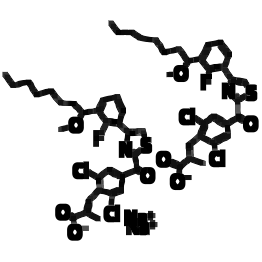 CCCCCCCC(OC)c1cccc(-c2csc(C(=O)c3cc(Cl)c(C=C(C)C(=O)[O-])c(Cl)c3)n2)c1F.CCCCCCCC(OC)c1cccc(-c2csc(C(=O)c3cc(Cl)c(C=C(C)C(=O)[O-])c(Cl)c3)n2)c1F.[Na+].[Na+]